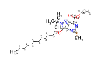 CCCCCCCCCCCCOc1c2nc(SC)nc(C(=O)OCC)c2nn1C(C)(C)C